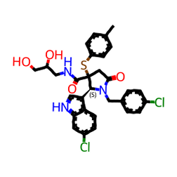 Cc1ccc(SC2(C(=O)NCC(O)CO)CC(=O)N(Cc3ccc(Cl)cc3)[C@H]2c2c[nH]c3cc(Cl)ccc23)cc1